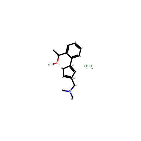 CC([O][Ti+2])c1ccccc1C1=CC(CN(C)C)=CC1.[Cl-].[Cl-]